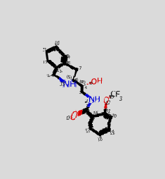 O=C(NC[C@@H](O)[C@@H]1Cc2ccccc2CN1)c1ccccc1OC(F)(F)F